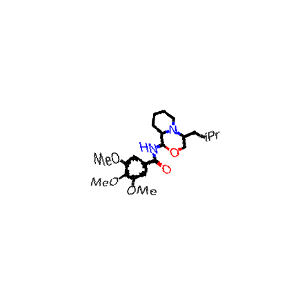 COc1cc(C(=O)NC2OCC(CC(C)C)N3CCCCC23)cc(OC)c1OC